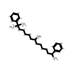 CC(CCCCCC(O)CCCCCC(C)(C)c1ccccc1)c1ccccc1